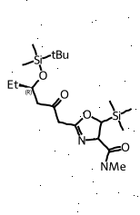 CC[C@H](CC(=O)CC1=NC(C(=O)NC)C([Si](C)(C)C)O1)O[Si](C)(C)C(C)(C)C